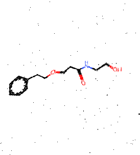 O=C(CCOCCc1ccccc1)NCCO